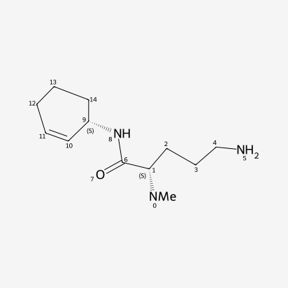 CN[C@@H](CCCN)C(=O)N[C@@H]1C=CCCC1